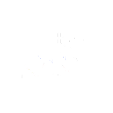 CC(=O)[C@@H]1C2[C@H](CN1C(=O)[C@@H](NC(=O)NC1(CS(=O)(=O)C(C)(C)C)CCCCC1)C(C)(C)C)C2(C)C